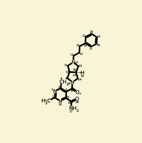 Cc1nc(C)c(C(=O)N2CC3CN(CC[CH]c4ccccc4)C[C@H]3C2)c(C(N)=O)n1